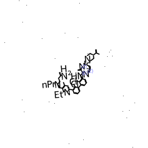 C=C(N)CCN(CCC)Cc1c(C)cc(-c2cccc(-c3cccc(N/C4=N/C=C\S/C(CN5CCC(C(=C)C)CC5)=N\C4=C)c3Cl)c2Cl)nc1CC